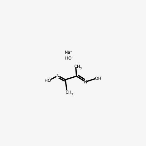 CC(=N\O)/C(C)=N/O.[Na+].[OH-]